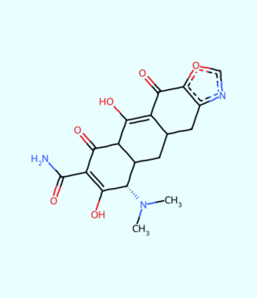 CN(C)[C@@H]1C(O)=C(C(N)=O)C(=O)C2C(O)=C3C(=O)c4ocnc4CC3CC21